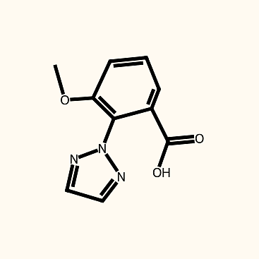 COc1cccc(C(=O)O)c1-n1nccn1